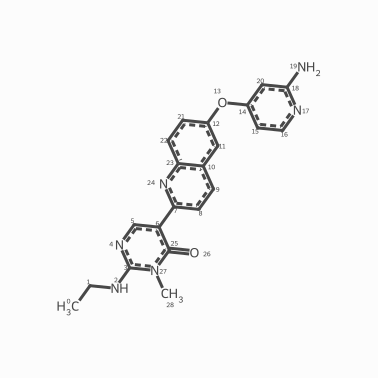 CCNc1ncc(-c2ccc3cc(Oc4ccnc(N)c4)ccc3n2)c(=O)n1C